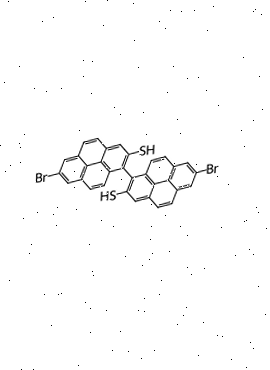 Sc1cc2ccc3cc(Br)cc4ccc(c1-c1c(S)cc5ccc6cc(Br)cc7ccc1c5c67)c2c34